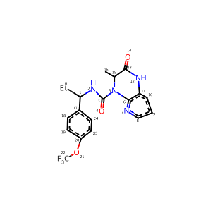 CCC(NC(=O)N1c2ncccc2NC(=O)C1C)c1ccc(OC(F)(F)F)cc1